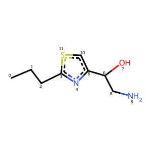 CCCc1nc(C(O)CN)cs1